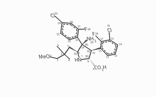 COCC(C)(C)C[C@@H]1N[C@@H](C(=O)O)[C@H](c2cccc(Cl)c2F)[C@@]1(N)c1ccc(Cl)cc1F